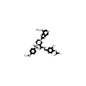 O=C(O)c1cncc2sc(N3CCN(S(=O)(=O)c4ccc(OC(F)(F)F)cc4)C(C(=O)NCc4ccc(OC(F)F)c(F)c4)C3)nc12